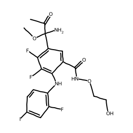 COC(N)(C(C)=O)c1cc(C(=O)NOCCO)c(Nc2ccc(I)cc2F)c(F)c1F